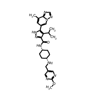 COc1ncc(CN[C@H]2CC[C@@H](NC(=O)c3n[nH]c(-c4cc(C)c5ncnn5c4)c3C(C)C)CC2)cn1